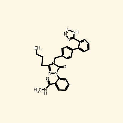 CCCCc1nn(-c2ccccc2C(=O)NC)c(=O)n1Cc1ccc(-c2ccccc2-c2nnn[nH]2)cc1